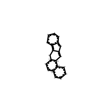 C1=C2C=c3ccccc3=C2Cc2ccc3ccccc3c21